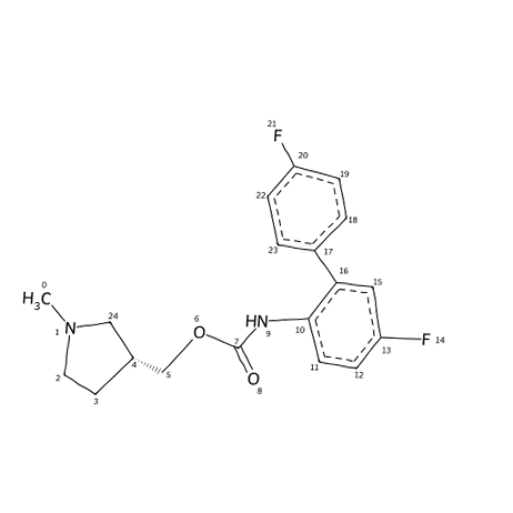 CN1CC[C@@H](COC(=O)Nc2ccc(F)cc2-c2ccc(F)cc2)C1